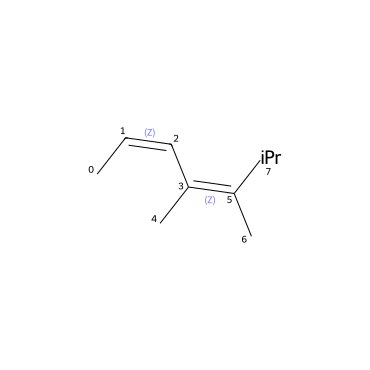 C/C=C\C(C)=C(\C)C(C)C